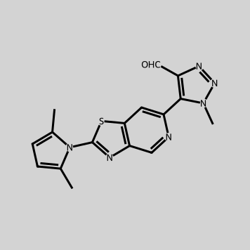 Cc1ccc(C)n1-c1nc2cnc(-c3c(C=O)nnn3C)cc2s1